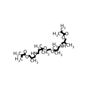 C=C(C)C(=O)OCC(C)CNCCC(C)(C)OCCOC(C)(C)CCNCC(C)COC(=O)C(=C)C